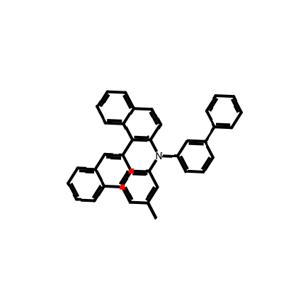 Cc1cccc(N(c2cccc(-c3ccccc3)c2)c2ccc3ccccc3c2-c2ccc3ccccc3c2)c1